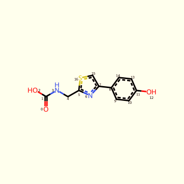 O=C(O)NCc1nc(-c2ccc(O)cc2)cs1